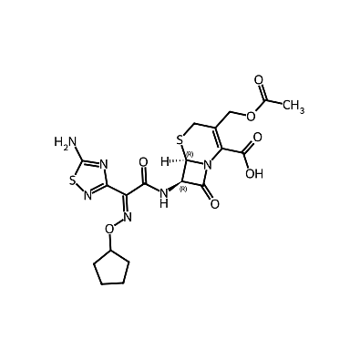 CC(=O)OCC1=C(C(=O)O)N2C(=O)[C@@H](NC(=O)C(=NOC3CCCC3)c3nsc(N)n3)[C@H]2SC1